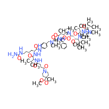 CC[C@H](C)[C@@H]([C@@H](CC(=O)N1CCC[C@H]1[C@H](OC)[C@@H](C)C(=O)N[C@@H](Cc1ccccc1)C(=O)N(C)Cc1ccc(NC(=O)[C@H](CCCCNC(N)=O)NC(=O)[C@@H](NC(=O)CCC(=O)N2CCC(C)(C(=O)OC)CC2)C(C)C)cc1)OC)N(C)C(=O)[C@@H](NC(=O)[C@H](C(C)C)N(C)C)C(C)C